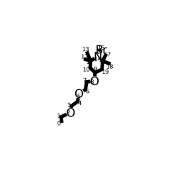 CCOCCOCCOC1CC(C)(C)N(Br)C(C)(C)C1